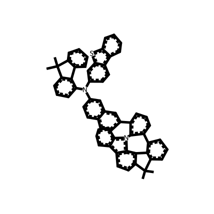 CC1(C)c2ccccc2-c2c(N(c3ccc4ccc(-c5cccc6c5-n5c7ccccc7c7ccc8c(c75)-c5c-6cccc5C8(C)C)cc4c3)c3ccc4c(c3)sc3ccccc34)cccc21